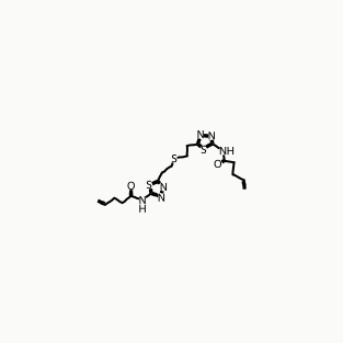 C=CCCC(=O)Nc1nnc(CCSCCc2nnc(NC(=O)CCC=C)s2)s1